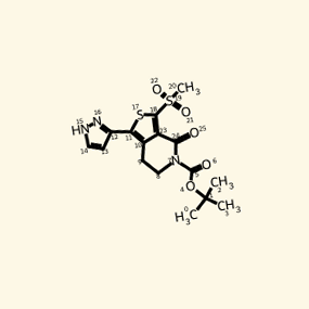 CC(C)(C)OC(=O)N1CCc2c(-c3cc[nH]n3)sc(S(C)(=O)=O)c2C1=O